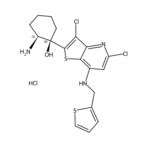 Cl.N[C@H]1CCCC[C@]1(O)c1sc2c(NCc3cccs3)cc(Cl)nc2c1Cl